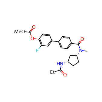 CCC(=O)N[C@H]1CC[C@@H](N(C)C(=O)c2ccc(-c3ccc(OC(=O)OC)c(F)c3)cc2)C1